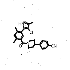 Cc1cc(C)c(-c2[nH]nc(C)c2Cl)cc1C(=O)N1CCC(c2ccc(C#N)cc2)CC1